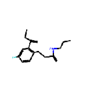 C=C(CCc1ccc(F)cc1C(=C)CC)NCCC